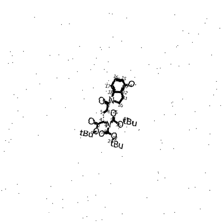 CC(C)(C)OC(=O)[C@H](CCC(=O)N1CCc2c([O])cccc21)N(C(=O)OC(C)(C)C)C(=O)OC(C)(C)C